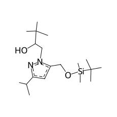 CC(C)c1cc(CO[Si](C)(C)C(C)(C)C)n(CC(O)C(C)(C)C)n1